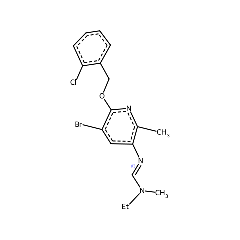 CCN(C)/C=N/c1cc(Br)c(OCc2ccccc2Cl)nc1C